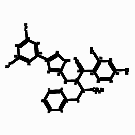 O=C(O)[C@H](Cc1ccccc1)N(Cc1cc(-c2cc(F)cc(F)c2)cs1)C(=O)c1ccc(Cl)cc1Cl